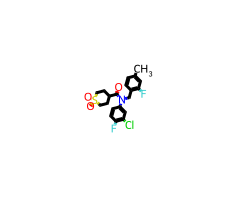 Cc1ccc(CN(C(=O)C2CCS(=O)(=O)CC2)c2ccc(F)c(Cl)c2)c(F)c1